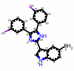 Bc1ccc2[nH]cc(-c3nc(-c4cccc(I)c4)c(-c4cccc(I)c4)[nH]3)c2c1